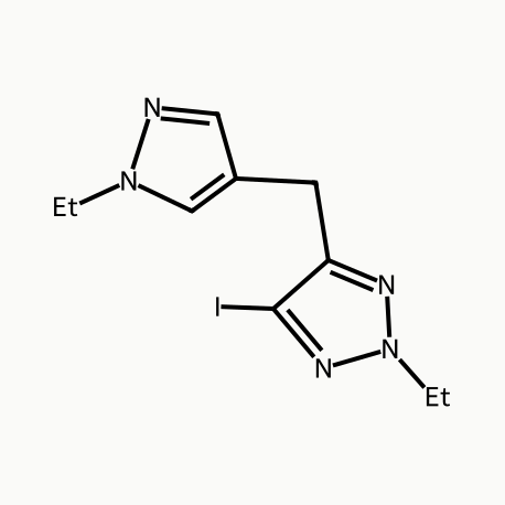 CCn1cc(Cc2nn(CC)nc2I)cn1